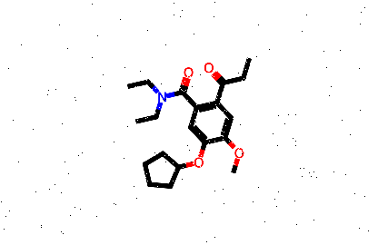 CCC(=O)c1cc(OC)c(OC2CCCC2)cc1C(=O)N(CC)CC